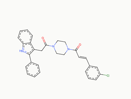 O=C(/C=C/c1cccc(Cl)c1)N1CCN(C(=O)Cc2c(-c3ccccc3)[nH]c3ccccc23)CC1